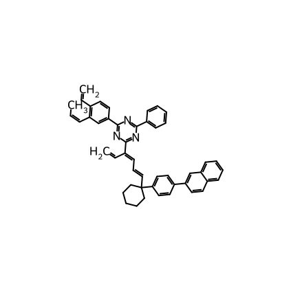 C=C/C(=C\C=C\C1(c2ccc(-c3ccc4ccccc4c3)cc2)CCCCC1)c1nc(-c2ccccc2)nc(-c2ccc(C=C)c(/C=C\C)c2)n1